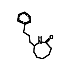 O=C1CCCCCC(CCCc2ccccc2)N1